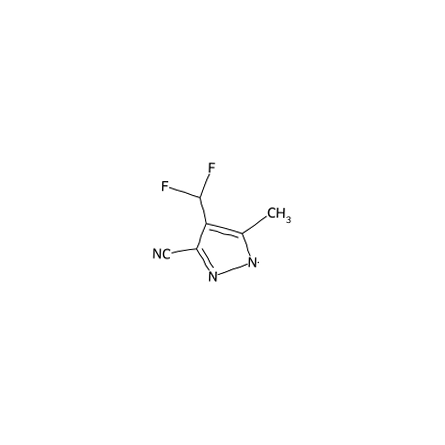 CC1=C(C(F)F)C(C#N)=N[N]1